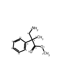 COC(=O)C(C)(CN)c1ccccc1